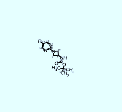 CC(C)(C)OC(=O)NC1CN(c2ncc(F)cn2)C1